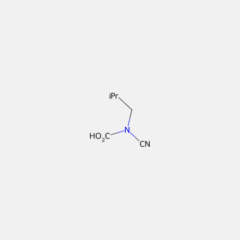 CC(C)CN(C#N)C(=O)O